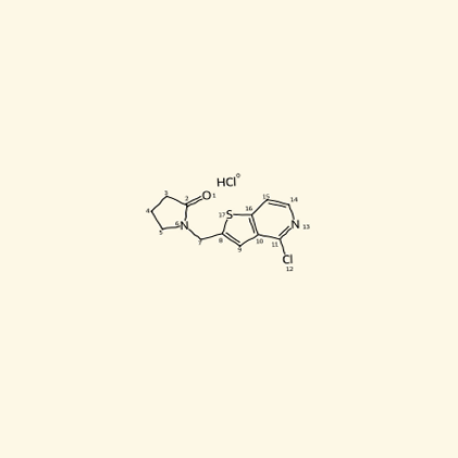 Cl.O=C1CCCN1Cc1cc2c(Cl)nccc2s1